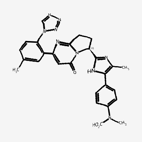 Cc1ccc(-n2cnnn2)c(-c2cc(=O)n3c(n2)CC[C@H]3c2nc(C)c(-c3ccc(N(C)C(=O)O)cc3)[nH]2)c1